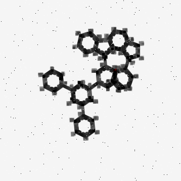 Cc1cc(-c2nc(-c3ccccc3)nc(-c3ccccc3)n2)cc(-n2c3ccccc3c3ccc4ccn(-c5ccccc5)c4c32)c1